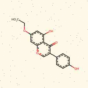 O=C(O)COc1cc(O)c2c(=O)c(-c3ccc(O)cc3)coc2c1